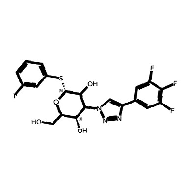 OCC1O[C@H](Sc2cccc(I)c2)C(O)C(n2cc(-c3cc(F)c(F)c(F)c3)nn2)[C@H]1O